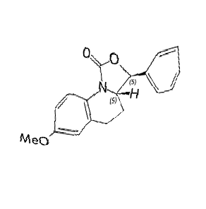 COc1ccc2c(c1)CC[C@H]1[C@H](c3ccccc3)OC(=O)N21